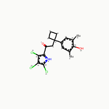 CC(C)(C)c1cc(C2(CC(=O)c3[nH]c(Cl)c(Cl)c3Cl)CCC2)cc(C(C)(C)C)c1O